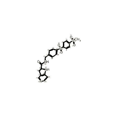 CS(=O)(=O)c1ccc(S(=O)(=O)c2ccc(CNC(=O)C3Cc4cnccc4N3)cc2)cc1